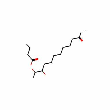 CCCCCCCCC(OC(=O)CCC(C)=O)C(O)CCCCCCCC(=O)OC